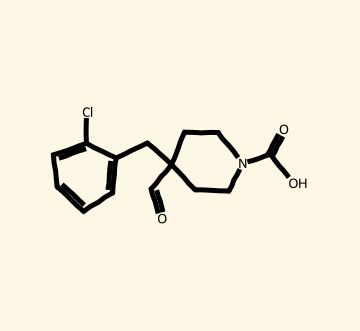 O=CC1(Cc2ccccc2Cl)CCN(C(=O)O)CC1